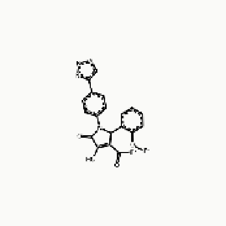 CC(C)Oc1ccccc1C1C(C(=O)C(C)C)=C(O)C(=O)N1c1ccc(-c2csnn2)cc1